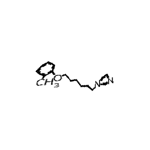 Cc1ccccc1OCCCCCCn1ccnc1